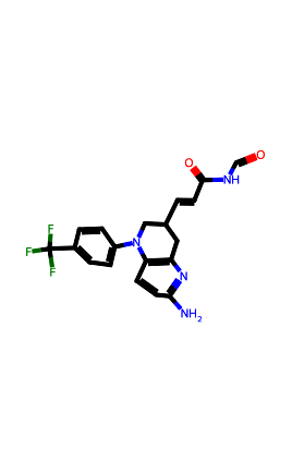 Nc1ccc2c(n1)CC(C=CC(=O)NC=O)CN2c1ccc(C(F)(F)F)cc1